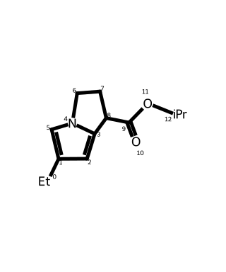 CCc1cc2n(c1)CCC2C(=O)OC(C)C